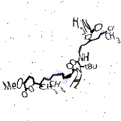 COC1=CCC(C(C)/C=C(C)/C=C\C=C/C(=O)NC(C(=O)N/C=C\CC(C/C=C(\C)Cl)OC(N)=O)C(C)(C)C)OC1=O